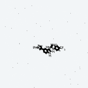 CC(C)n1cc(-c2ccc3[nH]cc(N/C(=C/[N+](=O)[O-])Nc4ccc(C(F)(F)F)cc4)c3c2)cn1